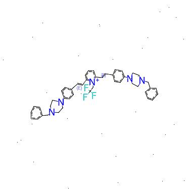 FC(F)(F)C[n+]1c(/C=C/c2ccc(N3CCN(Cc4ccccc4)CC3)cc2)cccc1/C=C/c1ccc(N2CCN(Cc3ccccc3)CC2)cc1